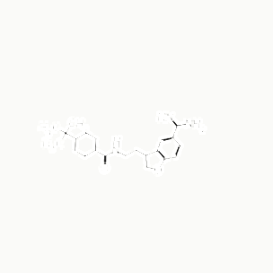 CC(C)(C)C1CCC(C(=O)NCCC2COc3ccc(C(=N)N)cc32)CC1